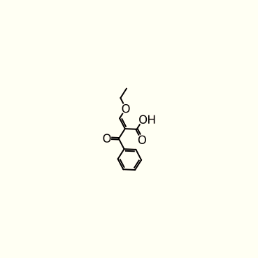 CCO/C=C(\C(=O)O)C(=O)c1ccccc1